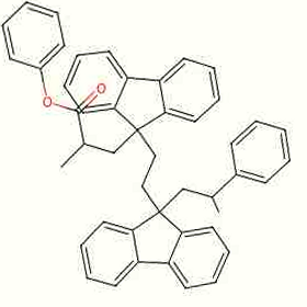 CC(CC1(CCC2(CC(C)c3ccccc3)c3ccccc3-c3ccccc32)c2ccccc2-c2ccccc21)C(=O)Oc1ccccc1